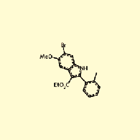 CCOC(=O)c1c(-c2ccccc2C)[nH]c2cc(Br)c(OC)cc12